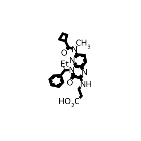 CC[C@@H](c1ccccc1)n1c(=O)c(NCCC(=O)O)nc2ccc(N(C)C(=O)C3CCC3)nc21